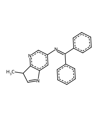 CC1C=Nc2cc(N=C(c3ccccc3)c3ccccc3)cnc21